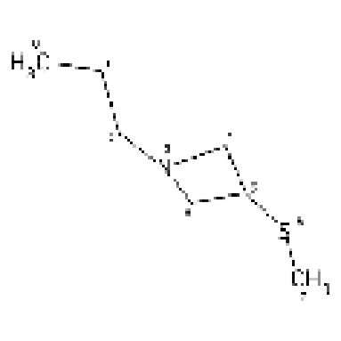 CCCN1CC(SC)C1